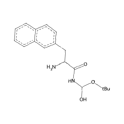 CC(C)(C)OC(O)NC(=O)C(N)Cc1ccc2ccccc2c1